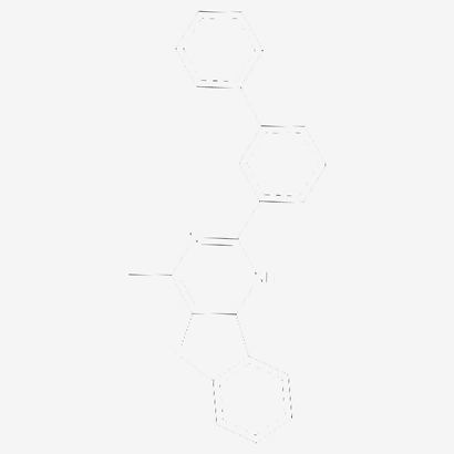 CC1=C2Sc3ccccc3C2NC(c2cccc(-c3ccccc3)c2)=N1